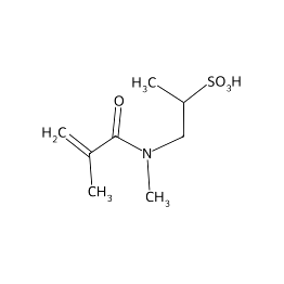 C=C(C)C(=O)N(C)CC(C)S(=O)(=O)O